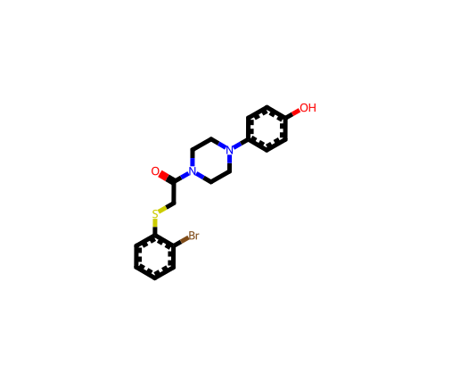 O=C(CSc1ccccc1Br)N1CCN(c2ccc(O)cc2)CC1